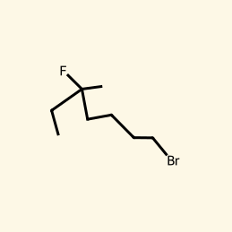 CCC(C)(F)CCCCBr